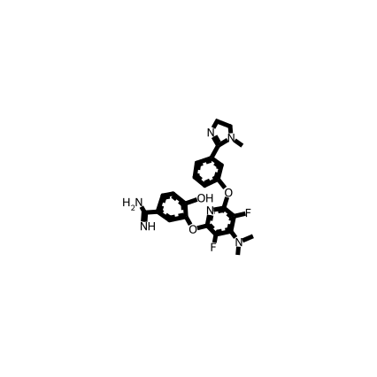 CN1CCN=C1c1cccc(Oc2nc(Oc3cc(C(=N)N)ccc3O)c(F)c(N(C)C)c2F)c1